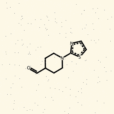 O=CC1CCN(c2nccs2)CC1